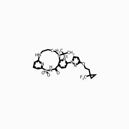 CCC(C)(C)N1CCCCNc2cccc(n2)S(=O)(=O)NC(=O)c2ccc(-n3ccc(OCCC4(C(F)(F)F)CC4)n3)nc21